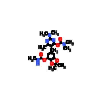 CNC(=O)Oc1cccc2c1OC(C)(C)O2.Cc1nc(N(C)C)nc(OC(=O)N(C)C)c1C